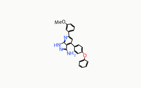 COc1cccc(-c2cc(-c3ccc(Oc4ccccc4)cc3)c3c(N)n[nH]c3n2)c1